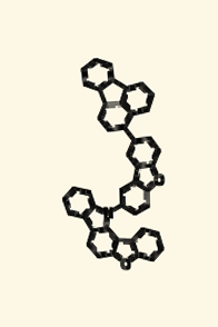 c1ccc2c(c1)-c1cccc3c(-c4ccc5oc6ccc(-n7c8ccccc8c8ccc9oc%10ccccc%10c9c87)cc6c5c4)ccc-2c13